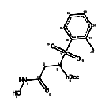 CCCCCCCCCCN(CC(=O)NO)S(=O)(=O)c1ccccc1C